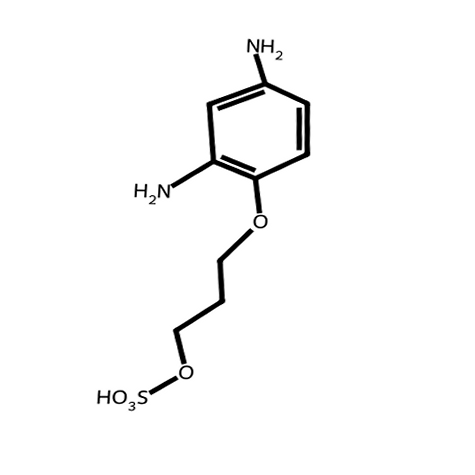 Nc1ccc(OCCCOS(=O)(=O)O)c(N)c1